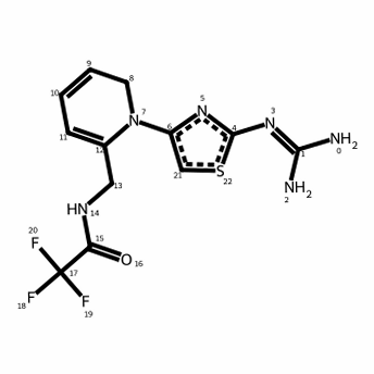 NC(N)=Nc1nc(N2CC=CC=C2CNC(=O)C(F)(F)F)cs1